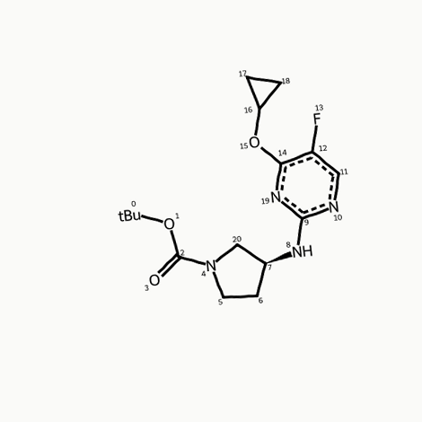 CC(C)(C)OC(=O)N1CC[C@H](Nc2ncc(F)c(OC3CC3)n2)C1